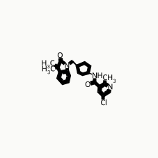 Cc1ncc(Cl)cc1C(=O)N[C@H]1CC[C@H](CN2C(=O)C(C)(C)c3ccccc32)CC1